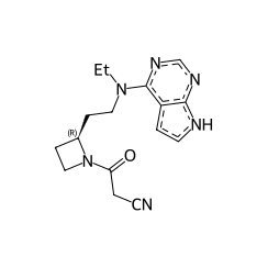 CCN(CC[C@@H]1CCN1C(=O)CC#N)c1ncnc2[nH]ccc12